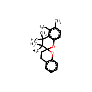 Cc1ccc2c(c1C)C(C)(C)C(C)(C)C1(CCc3ccccc3O1)O2